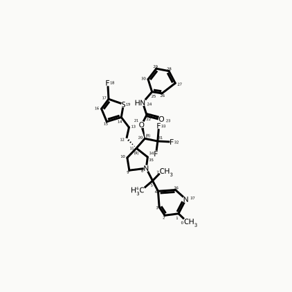 Cc1ccc(C(C)(C)N2CC[C@@](CCc3ccc(F)s3)([C@@H](OC(=O)Nc3ccccc3)C(F)(F)F)C2)cn1